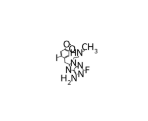 CCNCCn1c(Cc2cc3c(cc2I)OCO3)nc2c(N)nc(F)nc21